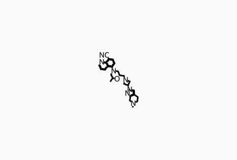 CC1CN(c2ccc(C#N)c3ncccc23)CC(CN2CC(n3cc4c(n3)CN(C)CC4)C2)O1